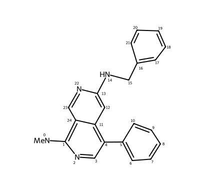 CNc1ncc(-c2ccccc2)c2cc(NCc3ccccc3)ncc12